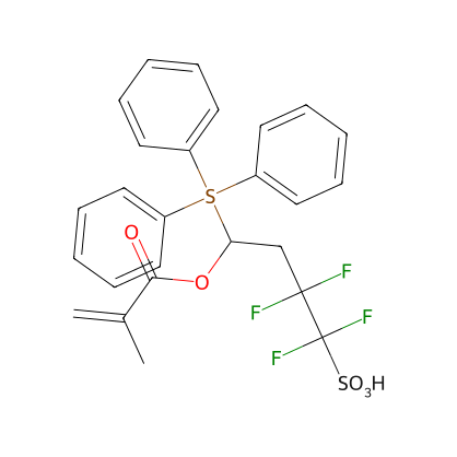 C=C(C)C(=O)OC(CC(F)(F)C(F)(F)S(=O)(=O)O)S(c1ccccc1)(c1ccccc1)c1ccccc1